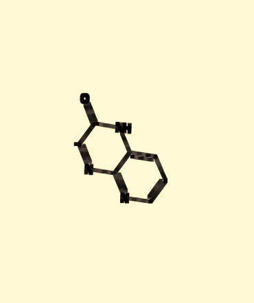 O=c1[c]nc2ncccc2[nH]1